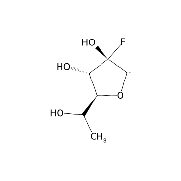 CC(O)[C@@H]1O[CH][C@@](O)(F)[C@H]1O